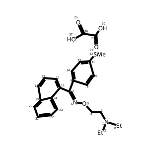 CCN(CC)CCON=C(c1ccc(SC)cc1)c1cccc2ccccc12.O=C(O)C(=O)O